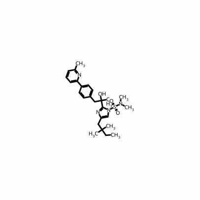 CCC(C)(C)Cc1cn(S(=O)(=O)N(C)C)c(C(C)(O)Cc2ccc(-c3cccc(C)n3)cc2)n1